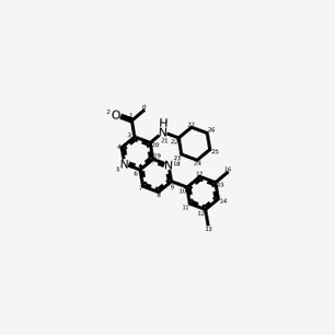 CC(=O)c1cnc2ccc(-c3cc(C)cc(C)c3)nc2c1NC1CCCCC1